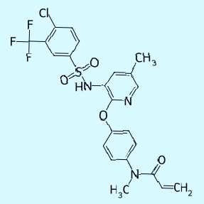 C=CC(=O)N(C)c1ccc(Oc2ncc(C)cc2NS(=O)(=O)c2ccc(Cl)c(C(F)(F)F)c2)cc1